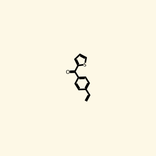 C=Cc1ccc(C(=O)c2cccs2)cc1